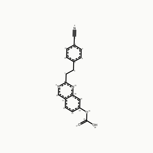 N#Cc1ccc(CCc2ncc3ccc(OC(=O)O)cc3n2)cc1